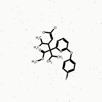 COC(=O)C(c1cccc(Oc2ccc(F)cc2)n1)(C(C)C)C(C=C(Cl)Cl)C(C)C